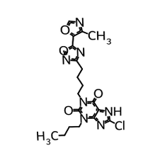 CCCCn1c(=O)n(CCCCc2noc(-c3ocnc3C)n2)c(=O)c2[nH]c(Cl)nc21